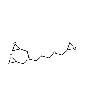 C(COCC1CO1)CN(CC1CO1)CC1CO1